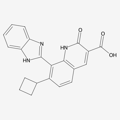 O=C(O)c1cc2ccc(C3CCC3)c(-c3nc4ccccc4[nH]3)c2[nH]c1=O